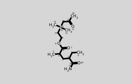 CCC(CC(C)C(=O)OCC[N+](C)(C)CC(C)=O)C(N)=O